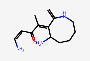 C=C1NCCCCC(N)/C1=C(/C)C(=O)/C=C\N